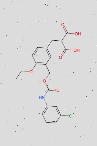 CCOc1ccc(CC(C(=O)O)C(=O)O)cc1COC(=O)Nc1cccc(Cl)c1